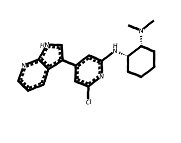 CN(C)[C@@H]1CCCC[C@@H]1Nc1cc(-c2c[nH]c3ncccc23)cc(Cl)n1